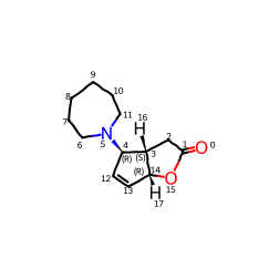 O=C1C[C@H]2[C@H](N3CCCCCC3)C=C[C@H]2O1